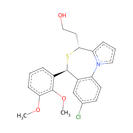 COc1cccc([C@H]2S[C@H](CCO)c3cccn3-c3ccc(Cl)cc32)c1OC